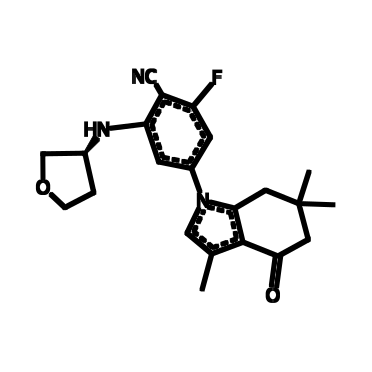 Cc1cn(-c2cc(F)c(C#N)c(N[C@H]3CCOC3)c2)c2c1C(=O)CC(C)(C)C2